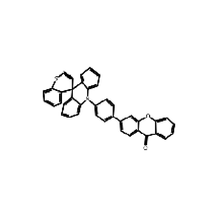 O=c1c2ccccc2oc2cc(-c3ccc(N4c5ccccc5C5(c6ccccc6Sc6ccccc65)c5ccccc54)cc3)ccc12